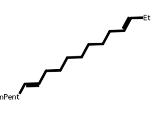 [CH2]CCCCC=CCCCCCCCC=CCC